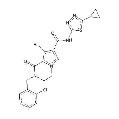 CCc1c(C(=O)Nc2nnc(C3CC3)s2)nn2c1C(=O)N(Cc1ccccc1Cl)CC2